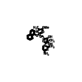 C=C1N=C(N)C=CN1[C@@H]1O[C@H](COP(=S)(NC(C)C(=O)OC)Oc2cccc3ccccc23)[C@@H](O)[C@@]1(C)O